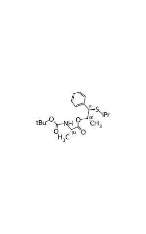 CC(C)S[C@H](c1ccccc1)[C@H](C)OC(=O)[C@H](C)NC(=O)OC(C)(C)C